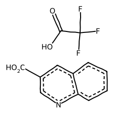 O=C(O)C(F)(F)F.O=C(O)c1cnc2ccccc2c1